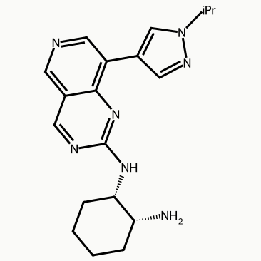 CC(C)n1cc(-c2cncc3cnc(N[C@H]4CCCC[C@H]4N)nc23)cn1